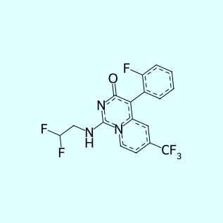 O=c1nc(NCC(F)F)n2ccc(C(F)(F)F)cc2c1-c1ccccc1F